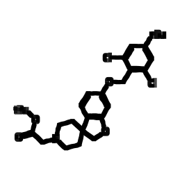 CCCCc1cc(Cl)c(COc2ccc3c(c2)OCC32CCN(CC(=O)OC(C)(C)C)CC2)c(Cl)c1